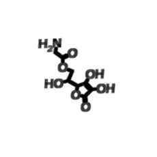 NCC(=O)OCC(O)C1OC(=O)C(O)=C1O